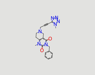 Cn1nnnc1C#CCN1CCc2c(c(=O)n(Cc3ccccc3)c(=O)n2C)C1